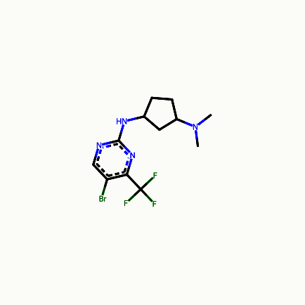 CN(C)C1CCC(Nc2ncc(Br)c(C(F)(F)F)n2)C1